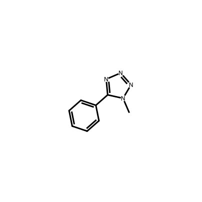 Cn1nnnc1-c1ccccc1